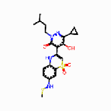 CSNc1ccc2c(c1)S(=O)(=O)C=C(c1c(O)c(C3CC3)nn(CCC(C)C)c1=O)N2